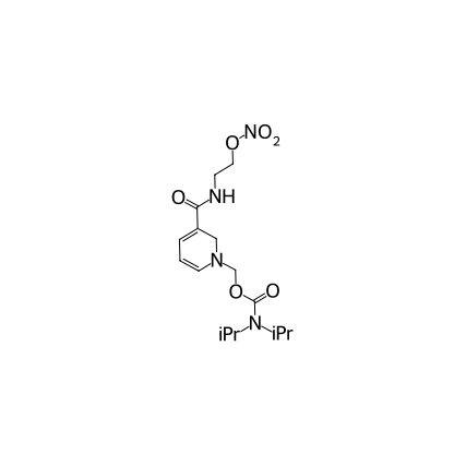 CC(C)N(C(=O)OCN1C=CC=C(C(=O)NCCO[N+](=O)[O-])C1)C(C)C